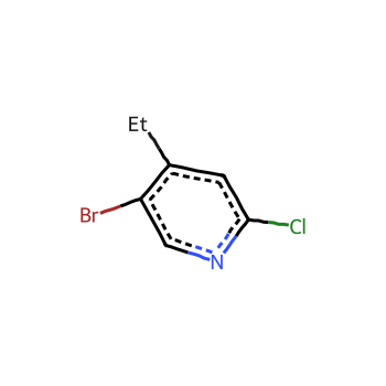 CCc1cc(Cl)ncc1Br